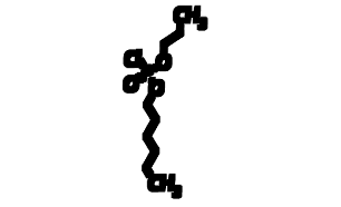 CCCCCCOP(=O)(Cl)OCCC